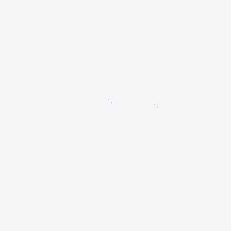 Cc1cc2cccc(C#N)c2n1C